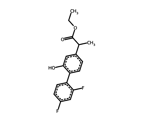 CCOC(=O)C(C)c1ccc(-c2ccc(F)cc2F)c(O)c1